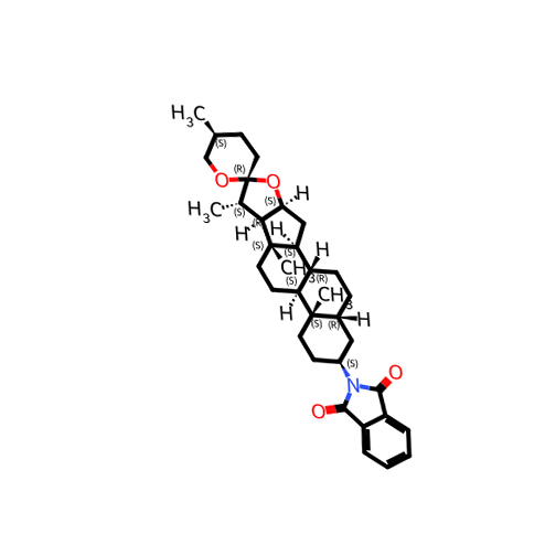 C[C@H]1CC[C@@]2(OC1)O[C@H]1C[C@H]3[C@@H]4CC[C@@H]5C[C@@H](N6C(=O)c7ccccc7C6=O)CC[C@]5(C)[C@H]4CC[C@]3(C)[C@H]1[C@@H]2C